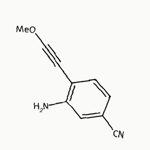 COC#Cc1ccc(C#N)cc1N